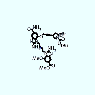 Br.Br.COC(=O)c1cc(OC)c2c(c1)nc(N)n2C/C=C/Cn1c(N)nc2cc(C(N)=O)cc(OCC#CC3CCN(C(=O)OC(C)(C)C)C3)c21